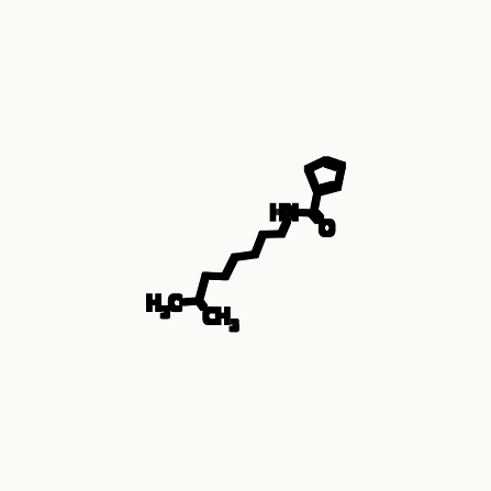 CC(C)CCCCCCNC(=O)C1=CC=CC1